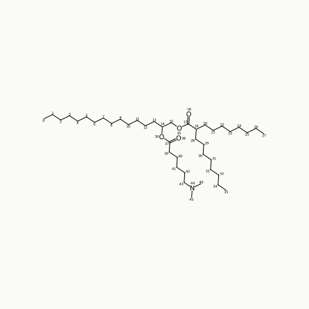 CCCCCCCCCCCCCCC(COC(=O)C(CCCCCCCC)CCCCCCCC)OC(=O)CCCCCN(C)C